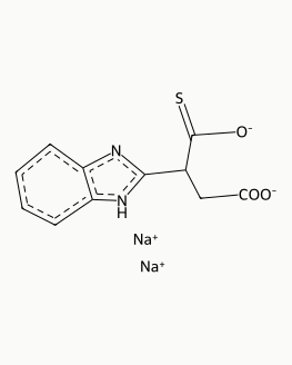 O=C([O-])CC(C([O-])=S)c1nc2ccccc2[nH]1.[Na+].[Na+]